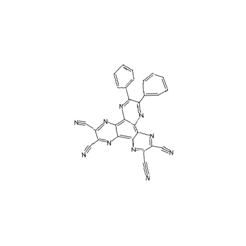 N#Cc1nc2c3nc(C#N)c(C#N)nc3c3nc(-c4ccccc4)c(-c4ccccc4)nc3c2nc1C#N